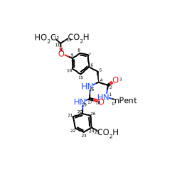 CCCCCNC(=O)[C@H](Cc1ccc(OC(C(=O)O)C(=O)O)cc1)NC(=O)Nc1cccc(C(=O)O)c1